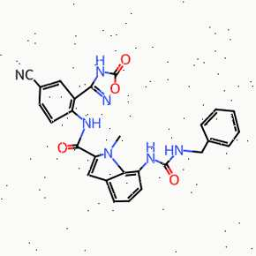 Cn1c(C(=O)Nc2ccc(C#N)cc2-c2noc(=O)[nH]2)cc2cccc(NC(=O)NCc3ccccc3)c21